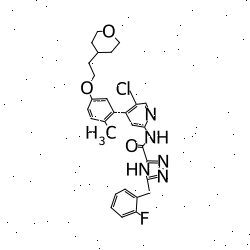 Cc1ccc(OCCC2CCOCC2)cc1-c1cc(NC(=O)c2nnc(Cc3ccccc3F)[nH]2)ncc1Cl